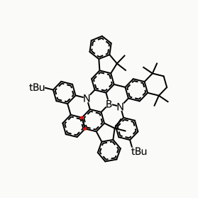 CC(C)(C)c1ccc(N2B3c4c(cc5c(c4-c4cc6c(cc42)C(C)(C)CCC6(C)C)C(C)(C)c2ccccc2-5)N(c2ccc(C(C)(C)C)cc2-c2ccccc2)c2ccc4c(c23)C(C)(C)c2ccccc2-4)cc1